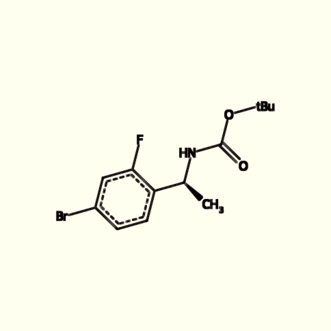 C[C@H](NC(=O)OC(C)(C)C)c1ccc(Br)cc1F